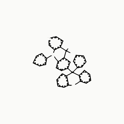 CC1(C)c2ccncc2N(c2ccccc2)c2ccc(C3(c4ccccc4)c4ccccc4Oc4ccccc43)cc21